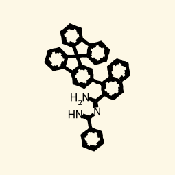 N=C(/N=C(\N)c1ccc2ccccc2c1-c1ccc2c(c1)C1(c3ccccc3-c3ccccc31)c1ccccc1-2)c1ccccc1